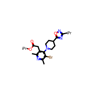 Cc1nc(C)c(CC(=O)OC(C)C)c(N2CCC(c3nc(C(C)C)no3)CC2)c1Br